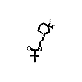 CC(C)(C)C(=O)NCCN1CCCC(F)(F)C1